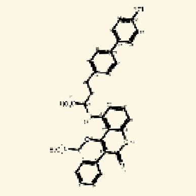 CCOC(=O)COc1c(-c2ccccc2)c(=O)oc2cccc(OC(CCc3ccc(-c4ccc(Cl)cc4)cc3)C(=O)O)c12